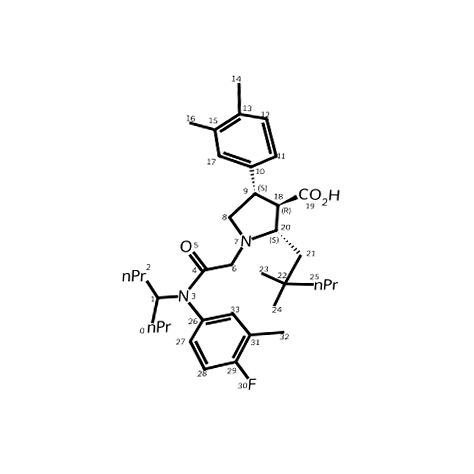 CCCC(CCC)N(C(=O)CN1C[C@H](c2ccc(C)c(C)c2)[C@@H](C(=O)O)[C@@H]1CC(C)(C)CCC)c1ccc(F)c(C)c1